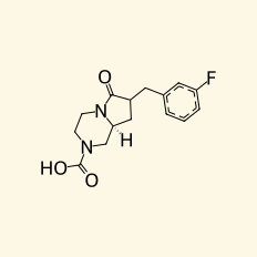 O=C(O)N1CCN2C(=O)C(Cc3cccc(F)c3)C[C@H]2C1